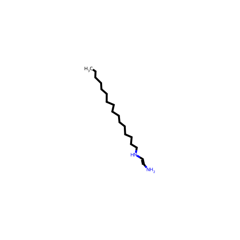 CCCCCCCCCCCCCCCCN/C=C/N